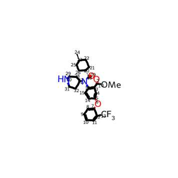 COC(=O)c1cc(Oc2ccccc2C(F)(F)F)ccc1N(C(=O)[C@H]1CC[C@H](C)CC1)C1CCNCC1